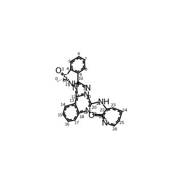 C[S@](=N)(=O)c1ccccc1-c1nc2c3ccccc3nc(Nc3ccccnc3=O)n2n1